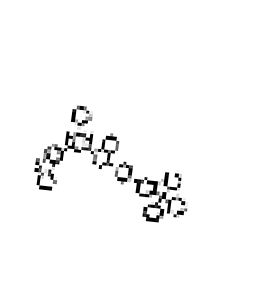 c1ccc(-c2nc(-c3ccc4sc5ccccc5c4c3)cc(-c3ccc(-c4ccc(-c5ccc6c(c5)-c5ccccc5C6(c5ccccc5)c5ccccc5)cc4)c4ccccc34)n2)cc1